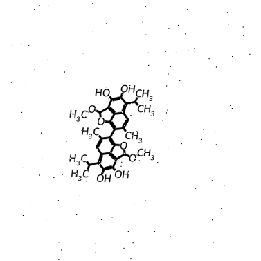 COC1Oc2c(-c3c(C)cc4c(C(C)C)c(O)c(O)c5c4c3OC5OC)c(C)cc3c(C(C)C)c(O)c(O)c1c23